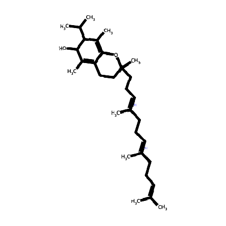 CC(C)=CCC/C(C)=C/CC/C(C)=C/CCC1(C)CCC2=C(C)C(O)C(C(C)C)C(C)=C2O1